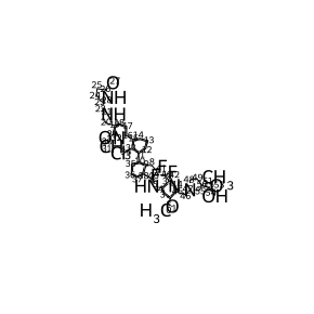 COc1cc(N[C@H]2CCc3c(-c4cccc(-c5ccc(CNC[C@@H]6CCC(=O)N6)c(OC)n5)c4Cl)cccc32)c(C(F)(F)F)nc1CN1CC[C@@](C)(C(=O)O)C1